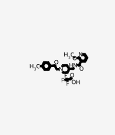 COc1ncccc1C(=O)NCC1CCN(CC(=O)c2ccc(C)cc2)CC1.O=C(O)C(F)(F)F